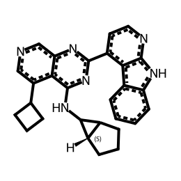 c1ccc2c(c1)[nH]c1nccc(-c3nc(NC4C5CCC[C@@H]54)c4c(C5CCC5)cncc4n3)c12